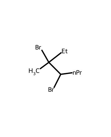 CCCC(Br)C(C)(Br)CC